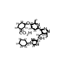 Cc1nc(-c2nnn(C)c2CNc2ncn(C3CCCCC3)n2)ccc1O[C@H]1CCC[C@H](C(=O)O)C1